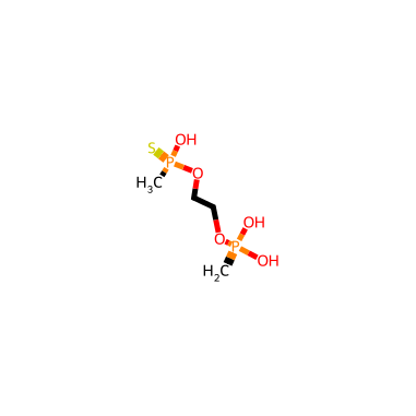 C=P(O)(O)OCCOP(C)(O)=S